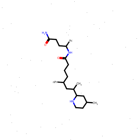 CCCC(CCCC(=O)NC(CCC(N)=O)C(C)=O)CC(C)C1CC(C)CCN1